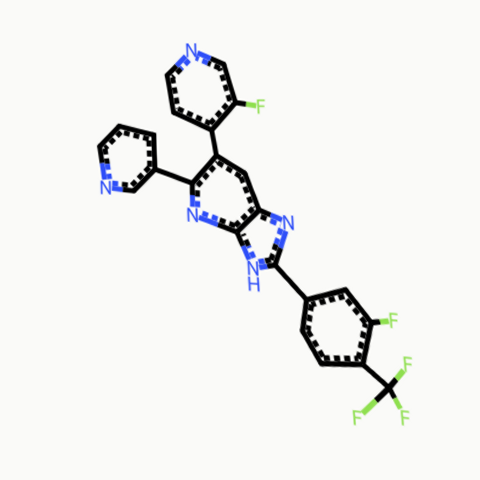 Fc1cnccc1-c1cc2nc(-c3ccc(C(F)(F)F)c(F)c3)[nH]c2nc1-c1cccnc1